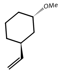 C=C[C@H]1CCC[C@H](OC)C1